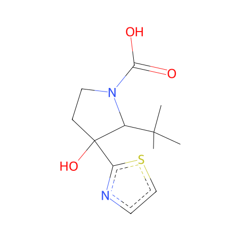 CC(C)(C)C1N(C(=O)O)CCC1(O)c1nccs1